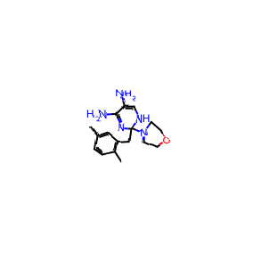 Cc1ccc(C)c(CC2(N3CCOCC3)N=C(N)C(N)=CN2)c1